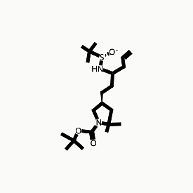 C=CCC(CC[C@@H]1CN(C(=O)OC(C)(C)C)C(C)(C)C1)N[S+]([O-])C(C)(C)C